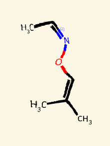 C/C=N\OC=C(C)C